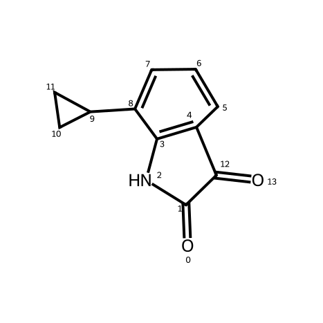 O=C1Nc2c(cccc2C2CC2)C1=O